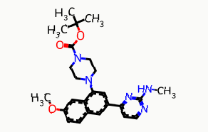 CNc1nccc(-c2cc(N3CCN(C(=O)OC(C)(C)C)CC3)c3cc(OC)ccc3c2)n1